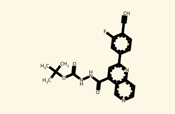 C#Cc1ccc(-c2cc(C(=O)NNC(=O)OC(C)(C)C)c3cnccc3n2)cc1F